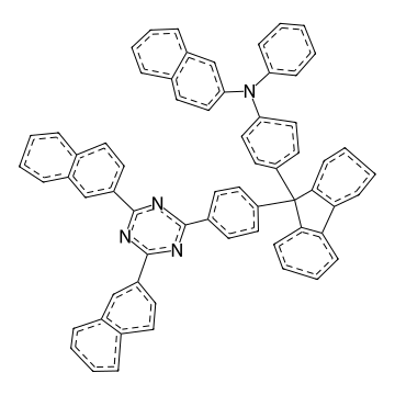 c1ccc(N(c2ccc(C3(c4ccc(-c5nc(-c6ccc7ccccc7c6)nc(-c6ccc7ccccc7c6)n5)cc4)c4ccccc4-c4ccccc43)cc2)c2ccc3ccccc3c2)cc1